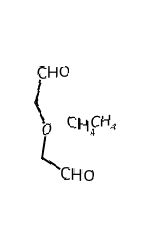 C.C.O=CCOCC=O